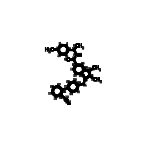 Cc1ccc(C(C)NC(=O)c2ccc3c(c2)c(C)c(C)n3Cc2ccc(-c3ccccc3C#N)cc2)cc1